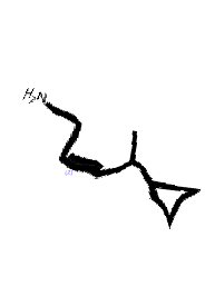 CC(/C=C\CN)C1CC1